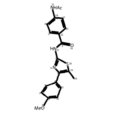 COc1ccc(-c2nc(NC(=O)c3ccc(NC(C)=O)cc3)sc2C)cc1